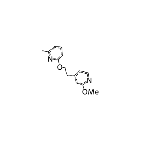 COc1cc(CCOc2cccc(C)n2)ccn1